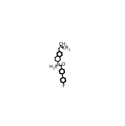 CN(C)Cc1ccc2c(c1)CCC(N(C)C(=O)c1ccc(-c3ccc(F)cc3)cc1)C2